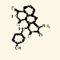 NC1=c2cc3cccc4c3c(c2=C(Nc2ccc(O)cc2)C(=O)C1=O)C(=O)NC4=O